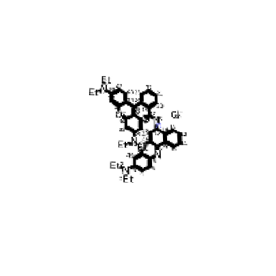 CCN(CC)c1ccc2nc3c4ccccc4/c(=N/C(=O)c4ccccc4-c4c5ccc(N(CC)CC)cc5[o+]c5cc(N(CC)CC)ccc45)cc-3oc2c1.[Cl-]